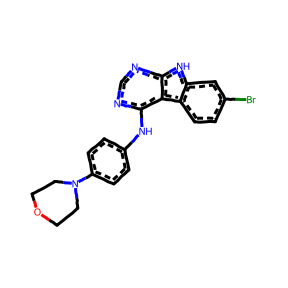 Brc1ccc2c(c1)[nH]c1ncnc(Nc3ccc(N4CCOCC4)cc3)c12